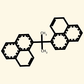 CC(C)(c1ccc2cccc3c2c1C=CC3)c1ccc2cccc3c2c1C=CC3